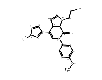 Cn1cc(C2=CN(c3ccc(OC(F)(F)F)cc3)C(=O)C3C2N=CN3CCF)cn1